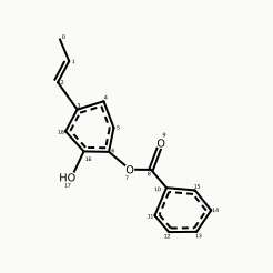 CC=Cc1ccc(OC(=O)c2ccccc2)c(O)c1